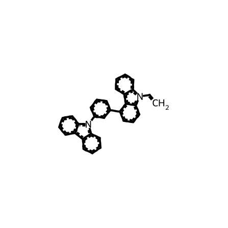 C=Cn1c2ccccc2c2c(-c3cccc(-n4c5ccccc5c5ccccc54)c3)cccc21